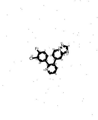 Fc1ccc(-c2ncccc2-c2ccn3ncnc3c2)cc1Cl